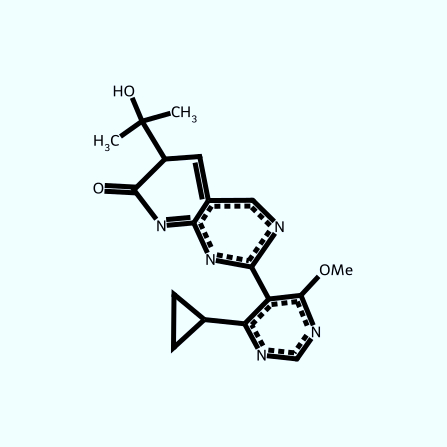 COc1ncnc(C2CC2)c1-c1ncc2c(n1)=NC(=O)C(C(C)(C)O)C=2